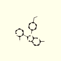 Nc1ncccc1-c1nc2ccc(F)nc2n1-c1ccc(CCl)cc1